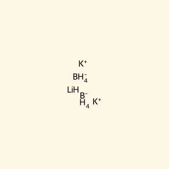 [BH4-].[BH4-].[K+].[K+].[LiH]